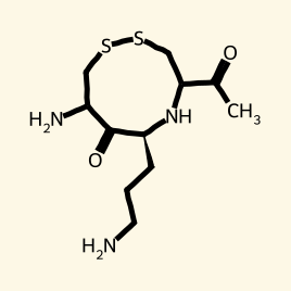 CC(=O)C1CSSCC(N)C(=O)[C@H](CCCN)N1